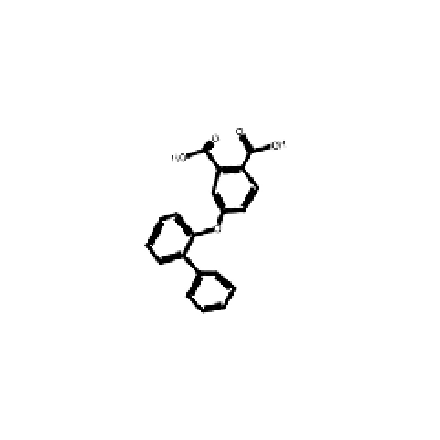 O=C(O)c1ccc(Oc2ccccc2-c2ccccc2)cc1C(=O)O